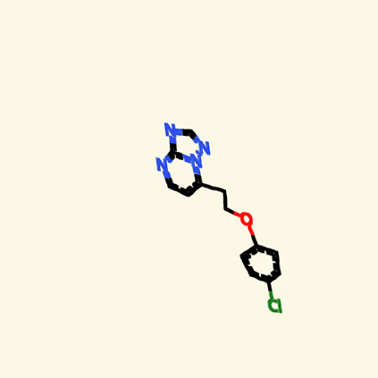 Clc1ccc(OCCc2ccnc3ncnn23)cc1